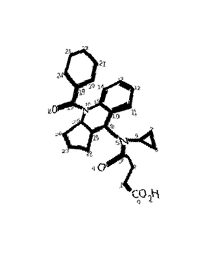 O=C(O)CCC(=O)N(C1CC1)C1c2ccccc2N(C(=O)C2CCCCC2)C2CCCC21